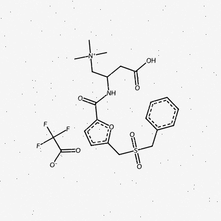 C[N+](C)(C)CC(CC(=O)O)NC(=O)c1ccc(CS(=O)(=O)Cc2ccccc2)o1.O=C([O-])C(F)(F)F